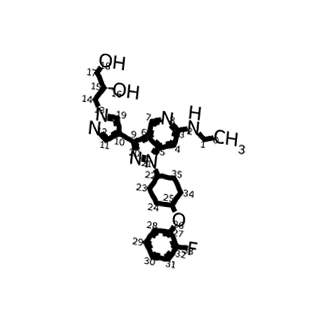 CCNc1cc2c(cn1)c(-c1cnn(C[C@@H](O)CO)c1)nn2C1CCC(Oc2ccccc2F)CC1